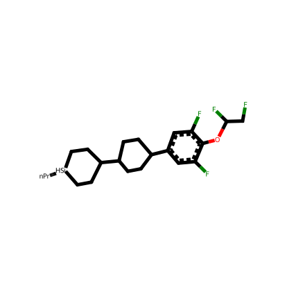 CCC[SiH]1CCC(C2CCC(c3cc(F)c(OC(F)CF)c(F)c3)CC2)CC1